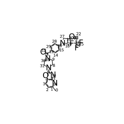 Cc1ccc2oc(N3CCN(C(=O)c4ccc(N5CC(O[C@H](C)C(F)(F)F)C5)cc4)CC3)nc2n1